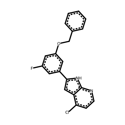 Fc1cc(OCc2ccccc2)cc(-c2cc3c(Cl)ccnc3[nH]2)c1